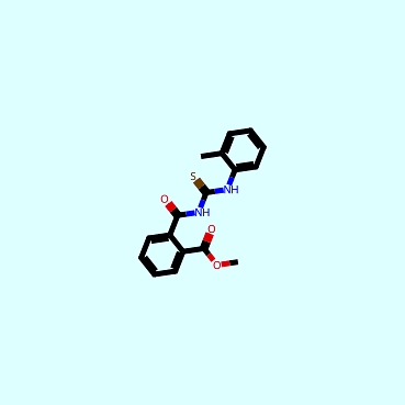 COC(=O)c1ccccc1C(=O)NC(=S)Nc1ccccc1C